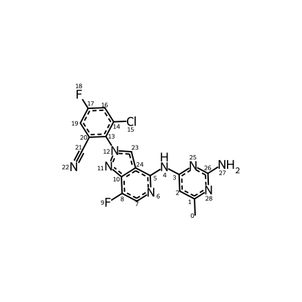 Cc1cc(Nc2ncc(F)c3nn(-c4c(Cl)cc(F)cc4C#N)cc23)nc(N)n1